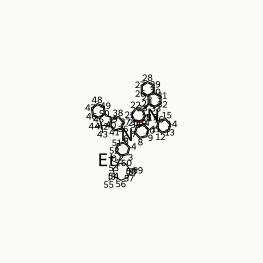 CCC1(c2ccc(N(c3ccc(-c4ccccc4-n4c5ccccc5c5c6ccccc6ccc54)cc3)c3ccc4c(c3)C(C)(C)c3ccccc3-4)cc2)C[C@@H](C)CC[C@H](C)C1